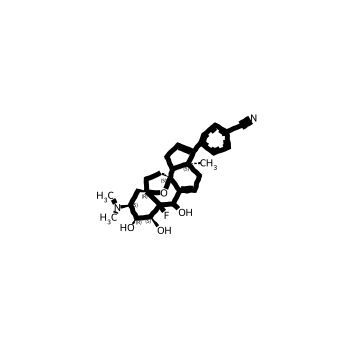 CN(C)[C@H]1C[C@@]23CC[C@@]4(O2)C(=CC[C@]2(C)C(c5ccc(C#N)cc5)=CCC24)C(O)C3(F)[C@@H](O)[C@@H]1O